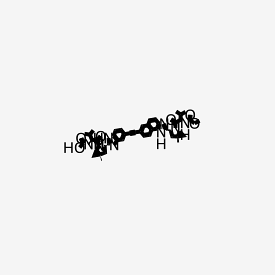 COC(=O)N[C@H](C(=O)N1C2C[C@]2(C)C[C@H]1c1nc2ccc3cc(C#Cc4ccc5[nH]c([C@@H]6C[C@@]7(C)CC7N6C(=O)[C@@H](NC(=O)O)C(C)C)nc5c4)ccc3c2[nH]1)C(C)C